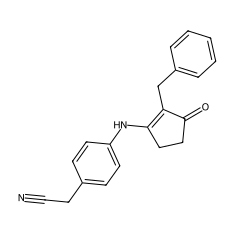 N#CCc1ccc(NC2=C(Cc3ccccc3)C(=O)CC2)cc1